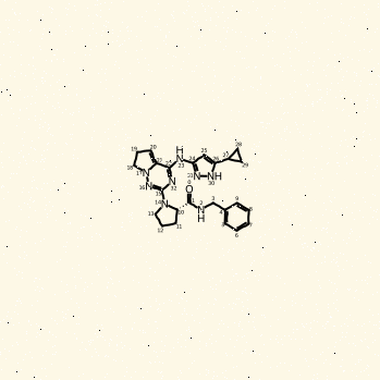 O=C(NCc1ccccc1)[C@@H]1CCCN1C1=NN2CCC=C2C(Nc2cc(C3CC3)[nH]n2)=N1